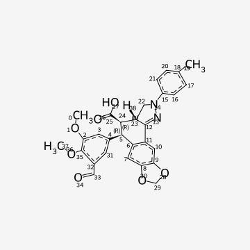 COc1cc([C@@H]2c3cc4c(cc3C3=NN(c5ccc(C)cc5)C[C@H]3[C@@H]2C(=O)O)OCO4)cc(C=O)c1OC